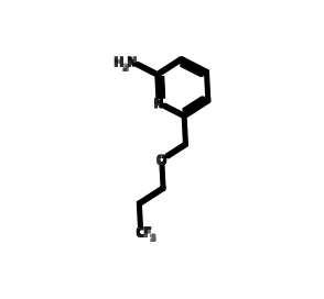 Nc1cccc(COCCC(F)(F)F)n1